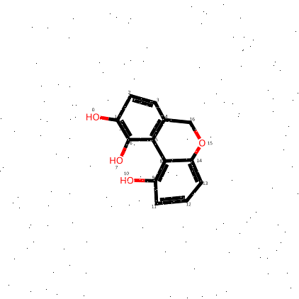 Oc1ccc2c(c1O)-c1c(O)cccc1OC2